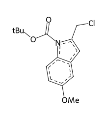 COc1ccc2c(c1)cc(CCl)n2C(=O)OC(C)(C)C